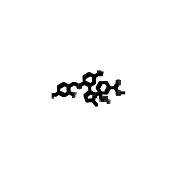 COC(=O)C1=CC(N)(n2c(C)ccc2-c2cc(Br)ccc2OCc2ccc(F)cc2F)C=CC1